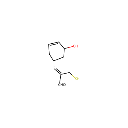 O=C/C(=C/[C@@H]1CC=CC(O)C1)CS